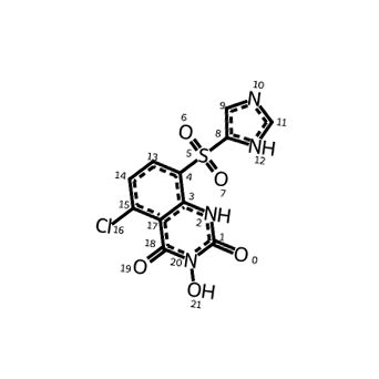 O=c1[nH]c2c(S(=O)(=O)c3cnc[nH]3)ccc(Cl)c2c(=O)n1O